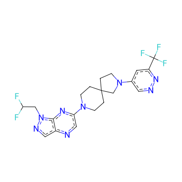 FC(F)Cn1ncc2ncc(N3CCC4(CCN(c5cnnc(C(F)(F)F)c5)C4)CC3)nc21